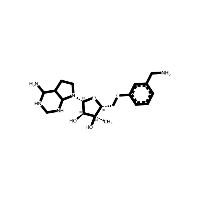 C[C@@]1(O)[C@@H](COc2cccc(CN)c2)O[C@@H](N2CCC3C(N)NCNC32)[C@@H]1O